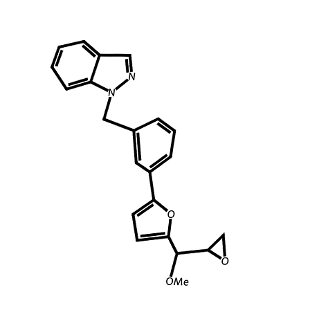 COC(c1ccc(-c2cccc(Cn3ncc4ccccc43)c2)o1)C1CO1